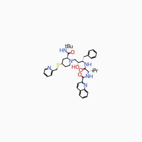 CC(C)[C@H](NC(=O)c1ccc2ccccc2n1)C(=O)N[C@@H](Cc1ccccc1)[C@H](O)CN1CC[C@@H](SCc2ccccn2)C[C@H]1C(=O)NC(C)(C)C